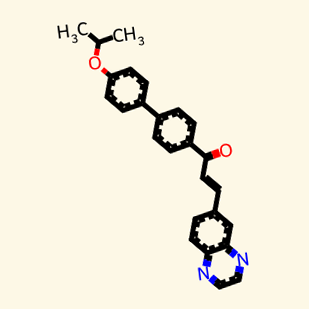 CC(C)Oc1ccc(-c2ccc(C(=O)/C=C/c3ccc4nccnc4c3)cc2)cc1